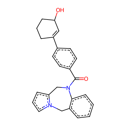 O=C(c1ccc(C2=CC(O)CCC2)cc1)N1Cc2cccn2Cc2ccccc21